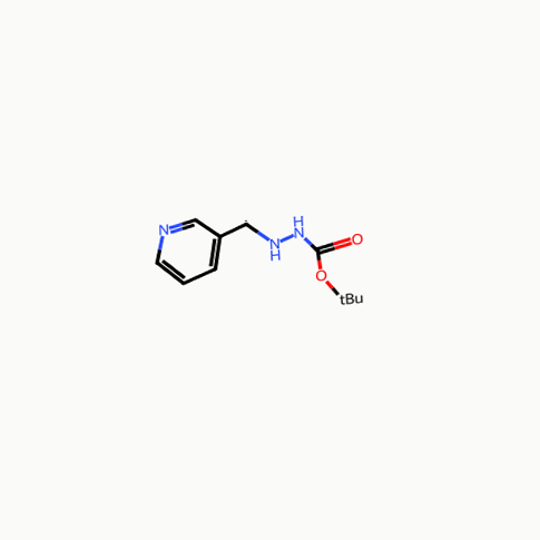 CC(C)(C)OC(=O)NN[CH]c1cccnc1